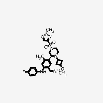 COC1CC(N2CCN(S(=O)(=O)c3cnn(C)n3)C[C@@H]2c2cc(C=N)c(Nc3ccc(F)cc3)cc2C)C1